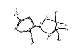 Cc1cnc(F)cc1B1OC(C)(C)C(C)(C)O1